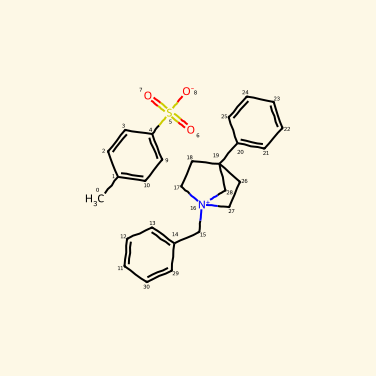 Cc1ccc(S(=O)(=O)[O-])cc1.c1ccc(C[N+]23CCC(c4ccccc4)(CC2)C3)cc1